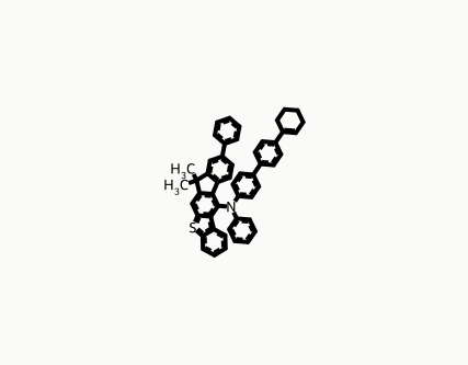 CC1(C)c2cc(-c3ccccc3)ccc2-c2c1cc1sc3ccccc3c1c2N(c1ccccc1)c1ccc(-c2ccc(C3=CCCCC3)cc2)cc1